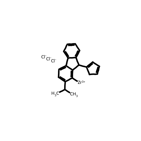 CC(C)c1ccc2c([c]1[Zr+3])C(C1=CC=CC1)c1ccccc1-2.[Cl-].[Cl-].[Cl-]